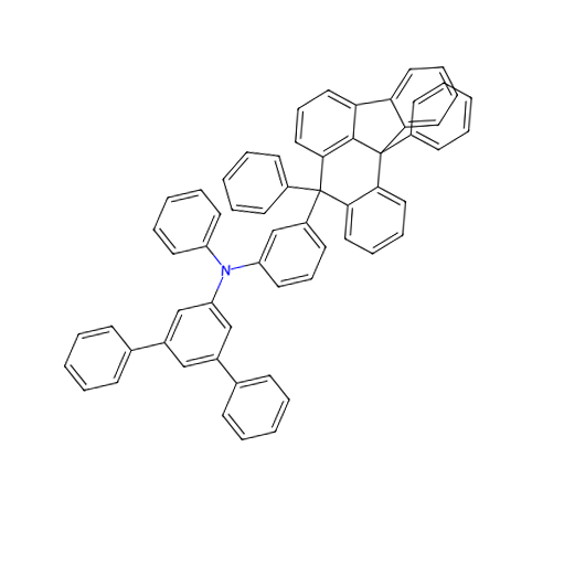 c1ccc(-c2cc(-c3ccccc3)cc(N(c3ccccc3)c3cccc(C4(c5ccccc5)c5ccccc5C5(c6ccccc6)c6ccccc6-c6cccc4c65)c3)c2)cc1